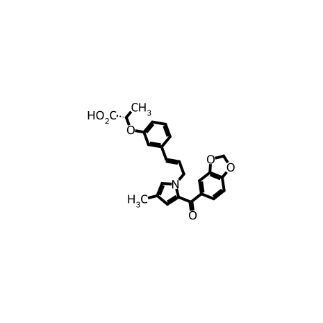 Cc1cc(C(=O)c2ccc3c(c2)OCO3)n(C/C=C/c2cccc(O[C@@H](C)C(=O)O)c2)c1